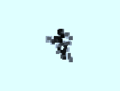 Cc1ccc2c(c1)CCCC(=O)N2C